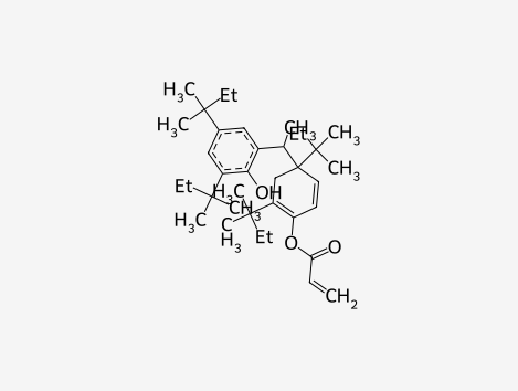 C=CC(=O)OC1=C(C(C)(C)CC)CC(C(C)c2cc(C(C)(C)CC)cc(C(C)(C)CC)c2O)(C(C)(C)CC)C=C1